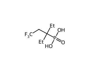 CCC(CC)(CC(F)(F)F)P(=O)(O)O